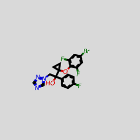 OC(Cn1cncn1)(c1ccc(F)cc1)C1(Oc2c(F)cc(Br)cc2F)CC1